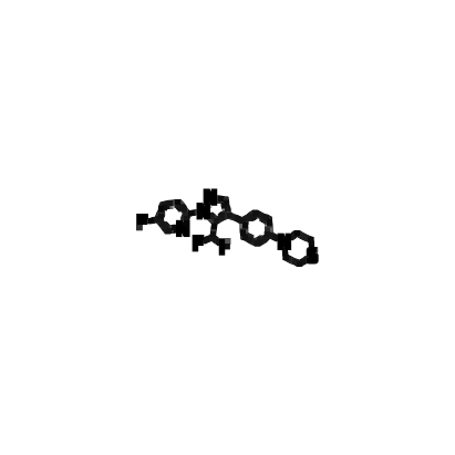 Fc1ccc(-n2ncc(-c3ccc(N4CCSCC4)cc3)c2C(F)F)nc1